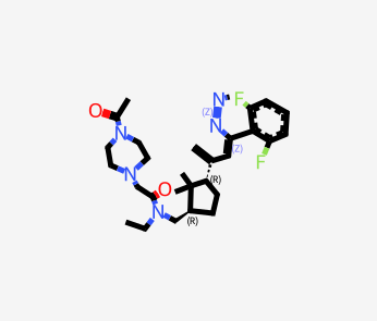 C=C(/C=C(\N=N/C)c1c(F)cccc1F)[C@@H]1CC[C@@H](CN(CC)C(=O)CN2CCN(C(C)=O)CC2)C1(C)C